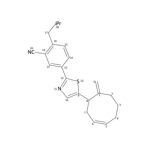 C=C1CCC/C=C\CC1c1cnc(-c2ccc(CC(C)C)c(C#N)c2)s1